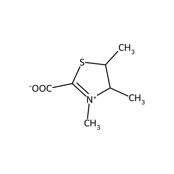 CC1SC(C(=O)[O-])=[N+](C)C1C